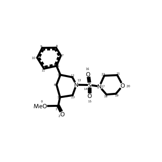 COC(=O)C1CC(c2ccccc2)CN(S(=O)(=O)N2CCOCC2)C1